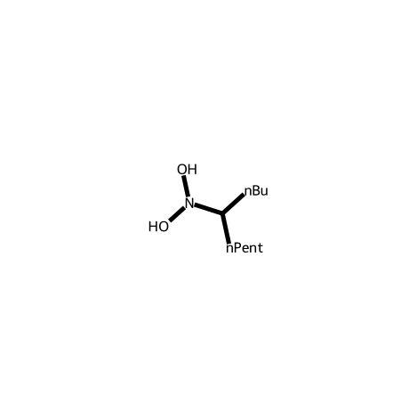 CCCCCC(CCCC)N(O)O